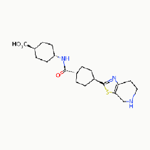 O=C(O)[C@H]1CC[C@H](NC(=O)[C@H]2CC[C@H](c3nc4c(s3)CNCC4)CC2)CC1